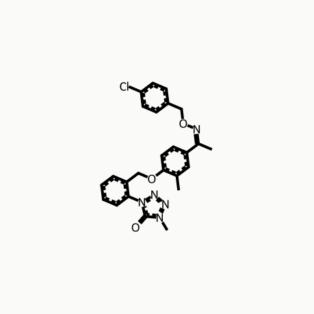 CC(=NOCc1ccc(Cl)cc1)c1ccc(OCc2ccccc2-n2nnn(C)c2=O)c(C)c1